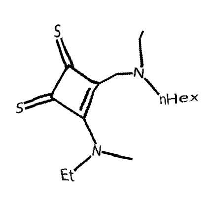 CCCCCCN(C)c1c(N(C)CC)c(=S)c1=S